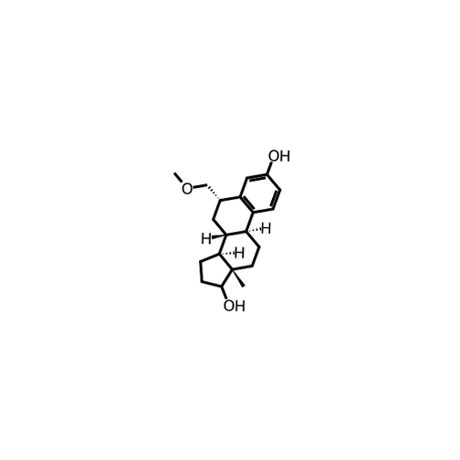 COC[C@H]1C[C@@H]2[C@H](CC[C@]3(C)C(O)CC[C@@H]23)c2ccc(O)cc21